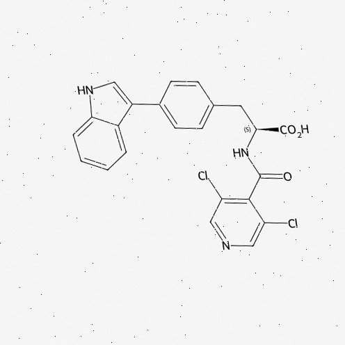 O=C(N[C@@H](Cc1ccc(-c2c[nH]c3ccccc23)cc1)C(=O)O)c1c(Cl)cncc1Cl